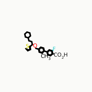 Cc1cc(COC(CCC2CCCCC2)c2cccs2)ccc1-c1ccc(C(=O)O)c(F)c1